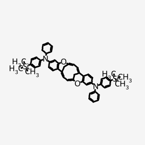 C[Si](C)(C)c1ccc(N(c2ccccc2)c2ccc3c(c2)O/C2=C/C=C4\C/C(=C\C=C\3C2)Oc2cc(N(c3ccc([Si](C)(C)C)cc3)C3C=CC=CC3)ccc24)cc1